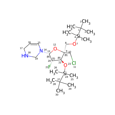 CC(C)(C)[Si](C)(C)OC[C@@]1(CCl)O[C@@H](N2C=CCNC2)[C@@H](F)[C@@H]1O[Si](C)(C)C(C)(C)C